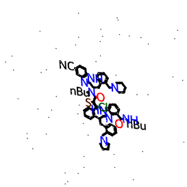 CCCCNC(=O)c1cccc2[nH]c(C(Cc3ccccc3CN3CCCC3)c3cccc4sc(C(=O)N(CCCC)C(Cc5ccccc5CN5CCCCC5)c5nc6cc(C#N)ccc6[nH]5)c(Cl)c34)nc12